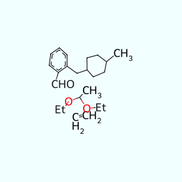 C=C.CC1CCC(Cc2ccccc2C=O)CC1.CCOC(C)OCC